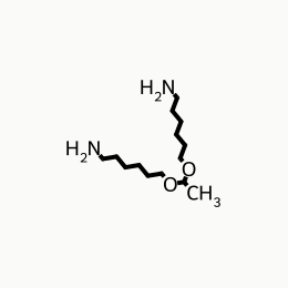 CC(OCCCCCCN)OCCCCCCN